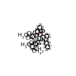 CC(C)(C)c1ccc(N2c3cc4c(oc5ccccc54)c4c3B(c3sc5cc6c(cc5c32)C(C)(C)CCC6(C)C)n2c3cc5ccccc5cc3c3cccc-4c32)c(-c2ccccc2)c1